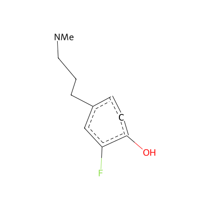 CNCCCc1ccc(O)c(F)c1